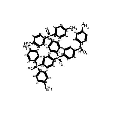 Cc1ccc([PH](=O)c2ccc(P(=O)(c3ccc(P(=O)(c4ccc(C)cc4)c4ccc(C)cc4)cc3)c3ccc(P(=O)(c4ccc(C)cc4)c4ccc(C)cc4)cc3)cc2)cc1